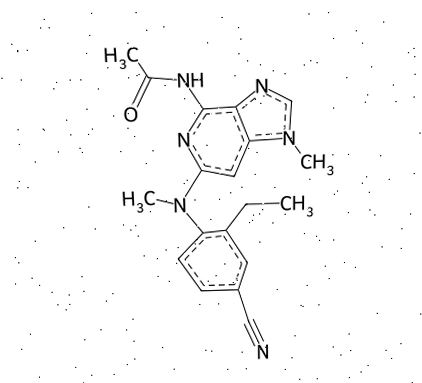 CCc1cc(C#N)ccc1N(C)c1cc2c(ncn2C)c(NC(C)=O)n1